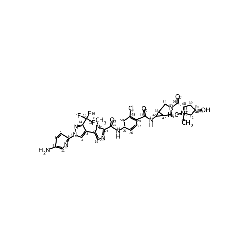 Cn1c(-c2cn(-c3ccc(N)cn3)nc2C(F)(F)F)cnc1C(=O)Nc1ccc(C(=O)NC2C3CN(C(=O)[C@@H]4C[C@@H](O)C[N+]4(C)C)CC32)c(Cl)c1